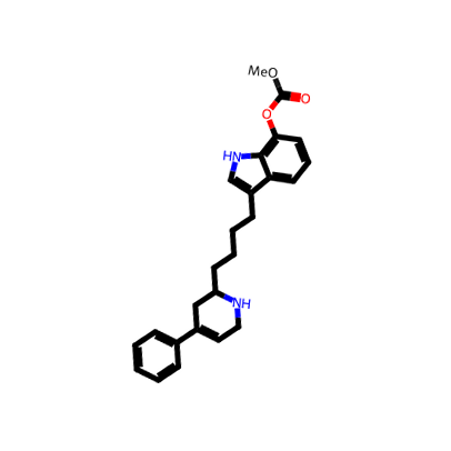 COC(=O)Oc1cccc2c(CCCCC3CC(c4ccccc4)=CCN3)c[nH]c12